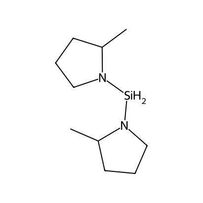 CC1CCCN1[SiH2]N1CCCC1C